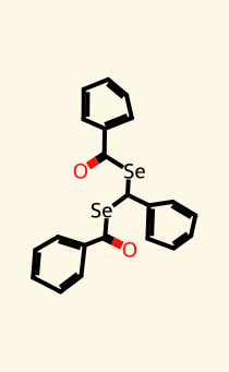 O=C([Se]C([Se]C(=O)c1ccccc1)c1ccccc1)c1ccccc1